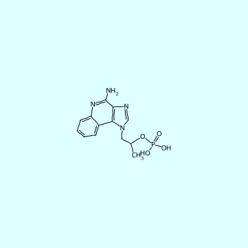 CC(Cn1cnc2c(N)nc3ccccc3c21)OP(=O)(O)O